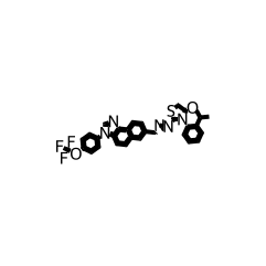 CC(C)c1ccccc1N1C(=O)CS/C1=N\N=C\c1ccc2c(ccc3c2ncn3-c2ccc(OC(F)(F)F)cc2)c1